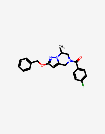 CC1CN(C(=O)c2ccc(F)cc2)Cc2cc(OCc3ccccc3)nn21